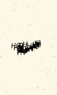 COC(=O)N[C@H](C(=O)N1C[Si](C)(C)C[C@H]1c1ncc(-c2ccc(-c3ccc4c(ccc5nc([C@@H]6CC(F)(F)CN6C(=O)[C@@H](NC(=O)CO)C(C)C)[nH]c54)c3)nc2)[nH]1)C(C)C